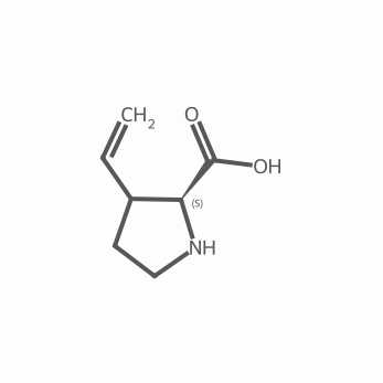 C=CC1CCN[C@@H]1C(=O)O